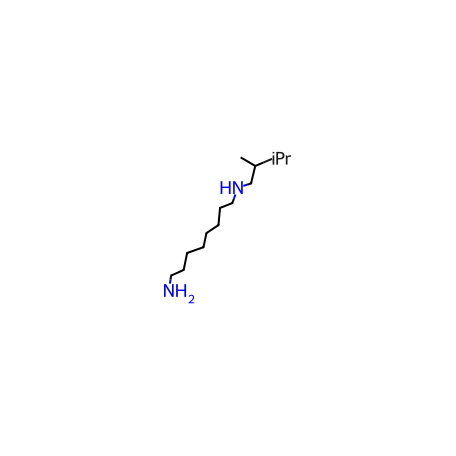 CC(C)C(C)CNCCCCCCCCN